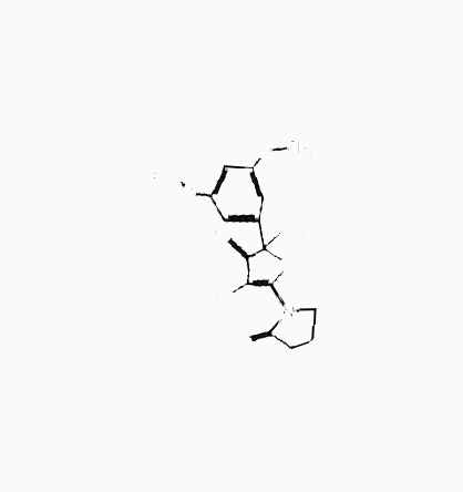 COc1cc(OC)cc(C2(C)OC(N3CCCC3=O)=C(O)C2=O)c1